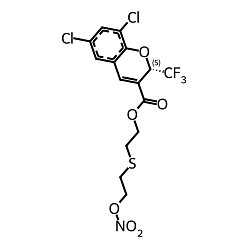 O=C(OCCSCCO[N+](=O)[O-])C1=Cc2cc(Cl)cc(Cl)c2O[C@@H]1C(F)(F)F